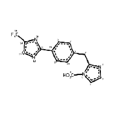 O=C(O)n1ccnc1Cc1ccc(-c2noc(C(F)(F)F)n2)cc1